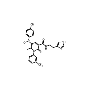 Cc1c([S+]([O-])c2ccc(C#N)cc2)cc(C(=O)NCCc2c[nH]cn2)c(=O)n1-c1cccc(C(F)(F)F)c1